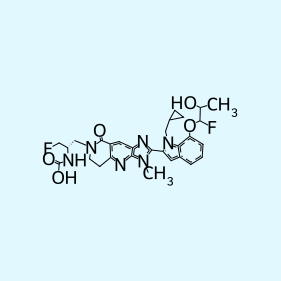 CC(O)C(F)Oc1cccc2cc(-c3nc4cc5c(nc4n3C)CCN(C[C@@H](CF)NC(=O)O)C5=O)n(CC3CC3)c12